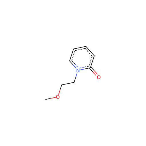 COCCn1ccc[c]c1=O